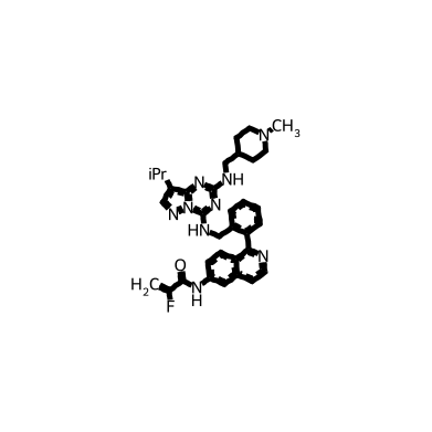 C=C(F)C(=O)Nc1ccc2c(-c3ccccc3CNc3nc(NCC4CCN(C)CC4)nc4c(C(C)C)cnn34)nccc2c1